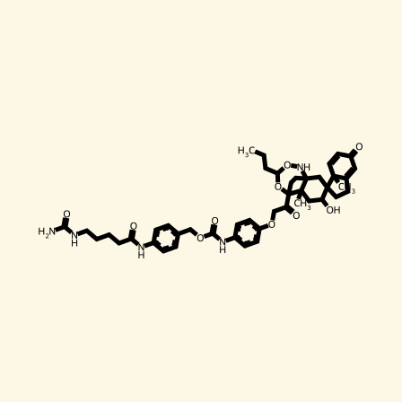 CCCC1ONC23CCC(C(=O)COc4ccc(NC(=O)OCc5ccc(NC(=O)CCCCNC(N)=O)cc5)cc4)(O1)C2(C)CC(O)C1(CCC2=CC(=O)C=CC21C)C3